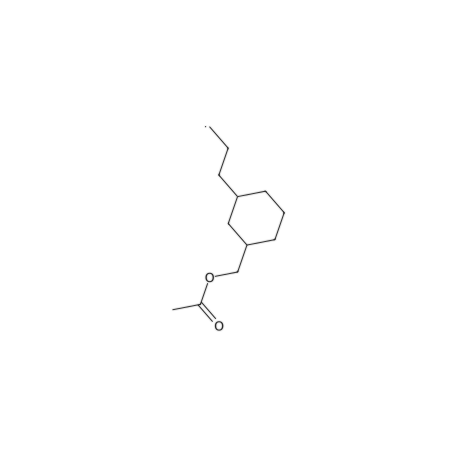 [CH2]CCC1CCCC(COC(C)=O)C1